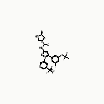 C[C@H]1C(=O)NC[C@@H]1C(=O)Nc1cc(-c2cc(F)cc(OC(C)(F)F)c2)n(-c2cncc(C(F)(F)P)c2)n1